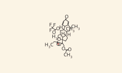 CCC(=O)O[C@]1(C(=O)COC(C)=O)CC[C@H]2[C@@H]3C[C@H](C)C4=CC(=O)C=C[C@]4(C)[C@H]3[C@@H](OC(=O)C(F)(F)F)C[C@@]21C